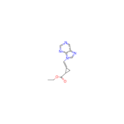 CCOC(=O)C1CC1=Cn1cnc2cncnc21